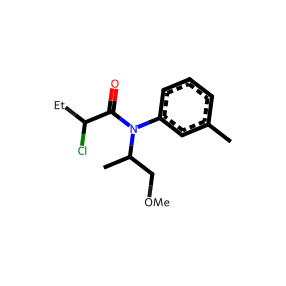 CCC(Cl)C(=O)N(c1cccc(C)c1)C(C)COC